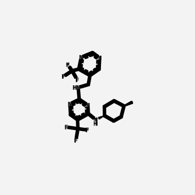 C[C@H]1CC[C@H](Nc2nc(NCc3cncnc3C(F)(F)F)ncc2C(F)(F)F)CC1